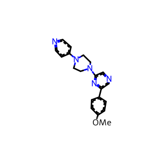 COc1ccc(-c2cncc(N3CCN(c4ccncc4)CC3)n2)cc1